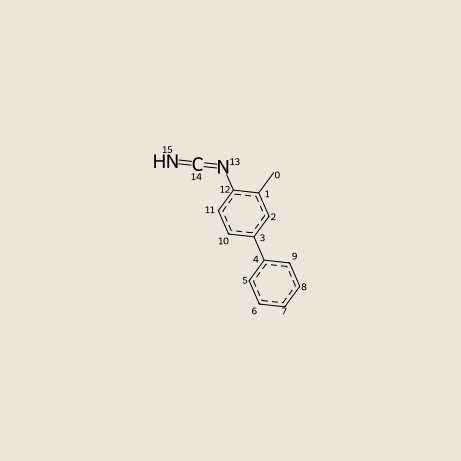 Cc1cc(-c2ccccc2)ccc1N=C=N